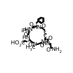 CC(C)[C@@H]1NC(=O)[C@H](Cc2ccccc2)NC(=O)CSC[C@@H](C(=O)NCC(N)=O)NC(=O)CN(C)C(=O)[C@H](CCC(=O)O)NC1=O